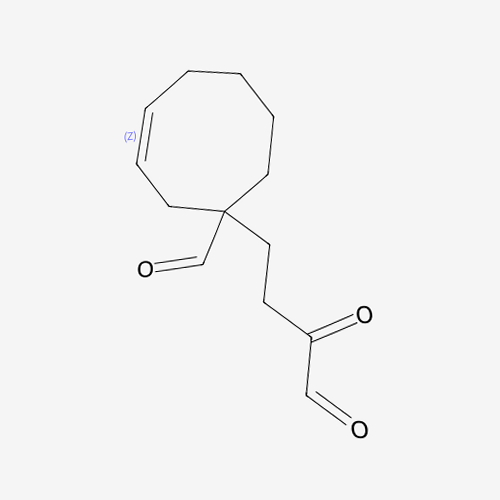 O=CC(=O)CCC1(C=O)C/C=C\CCCC1